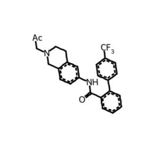 CC(=O)CN1CCc2cc(NC(=O)c3ccccc3-c3ccc(C(F)(F)F)cc3)ccc2C1